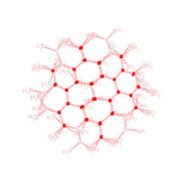 BB(B)B(B)B(B(B)B)B(B(B(B)B)B(B)B)B(B(B(B(B)B)B(B)B)B(B(B)B)B(B)B)B(B(B(B(B(B)B)B(B)B)B(B(B)B)B(B)B)B(B(B(B)B)B(B)B)B(B(B)B)B(B)B)B(B(B(B(B(B)B)B(B)B)B(B(B)B)B(B)B)B(B(B(B)B)B(B)B)B(B(B)B)B(B)B)B(B(B(B(B)B)B(B)B)B(B(B)B)B(B)B)B(B(B(B)B)B(B)B)B(B(B)B)B(B)B